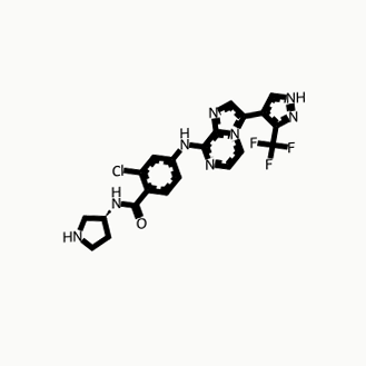 O=C(N[C@@H]1CCNC1)c1ccc(Nc2nccn3c(-c4c[nH]nc4C(F)(F)F)cnc23)cc1Cl